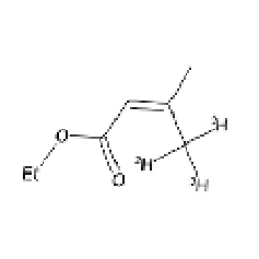 [2H]C([2H])([2H])C(C)=CC(=O)OCC